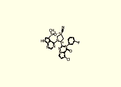 C[S+]([O-])c1c[nH]c2ncnc(N3C[C@@H](C#N)C[C@H]3c3nn4ccc(Cl)c4c(=O)n3-c3cccc(F)c3)c12